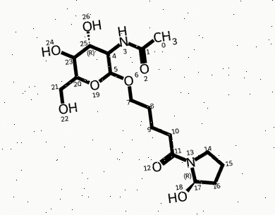 CC(=O)NC1C(OCCCCC(=O)N2CCC[C@H]2O)OC(CO)C(O)[C@@H]1O